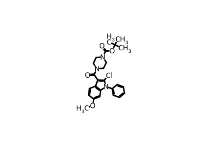 COc1ccc2c(C(=O)N3CCN(C(=O)OC(C)(C)C)CC3)c(Cl)n(-c3ccccc3)c2c1